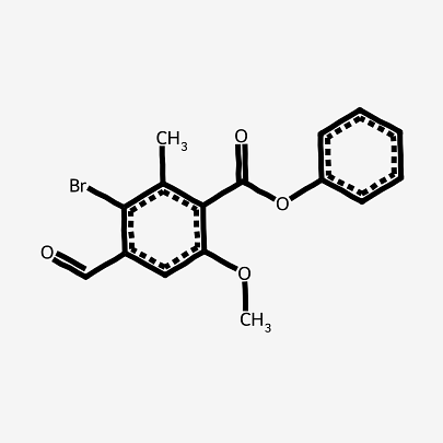 COc1cc(C=O)c(Br)c(C)c1C(=O)Oc1ccccc1